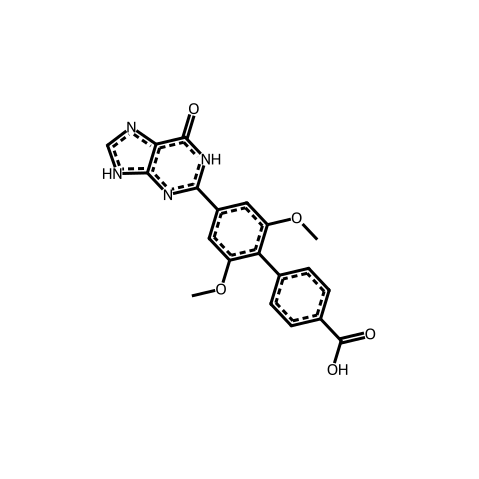 COc1cc(-c2nc3[nH]cnc3c(=O)[nH]2)cc(OC)c1-c1ccc(C(=O)O)cc1